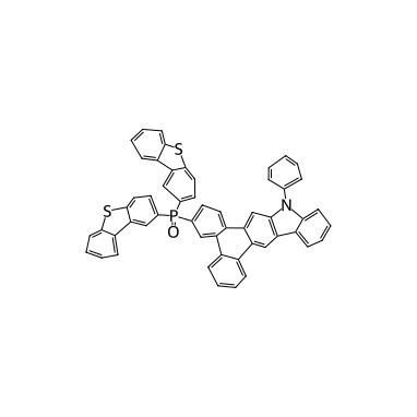 O=P(c1ccc2sc3ccccc3c2c1)(c1ccc2sc3ccccc3c2c1)c1ccc2c(c1)c1ccccc1c1cc3c4ccccc4n(-c4ccccc4)c3cc21